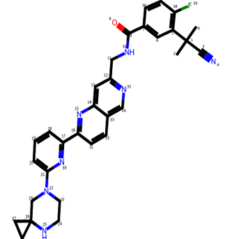 CC(C)(C#N)c1cc(C(=O)NCc2cc3nc(-c4cccc(N5CCNC6(CC6)C5)n4)ccc3cn2)ccc1F